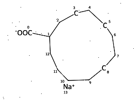 O=C([O-])C1CCCCCCCCCCC1.[Na+]